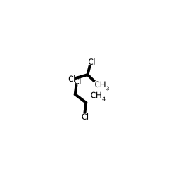 C.CC(Cl)Cl.ClCCCl